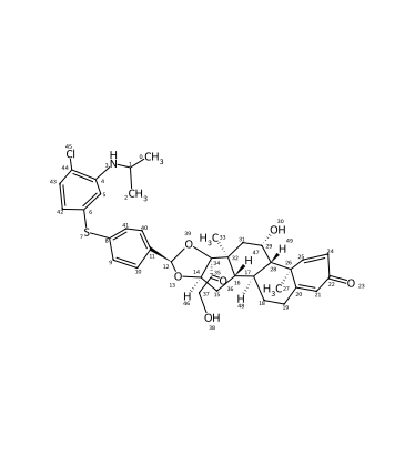 CC(C)Nc1cc(Sc2ccc([C@@H]3O[C@@H]4C[C@H]5[C@@H]6CCC7=CC(=O)C=C[C@]7(C)[C@H]6[C@@H](O)C[C@]5(C)[C@]4(C(=O)CO)O3)cc2)ccc1Cl